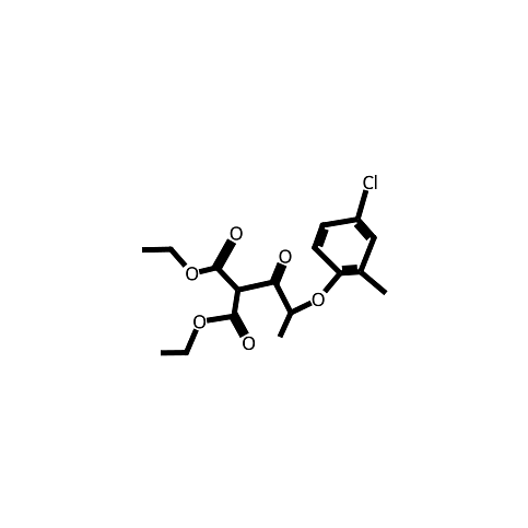 CCOC(=O)C(C(=O)OCC)C(=O)C(C)Oc1ccc(Cl)cc1C